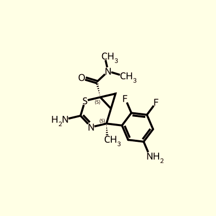 CN(C)C(=O)[C@]12CC1[C@@](C)(c1cc(N)cc(F)c1F)N=C(N)S2